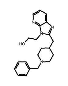 OCCn1c(CC2CCN(Cc3ccccc3)CC2)nc2cccnc21